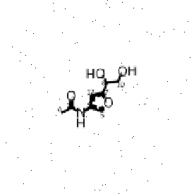 CC(=O)Nc1coc(C(O)CO)c1